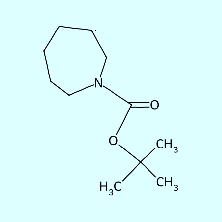 CC(C)(C)OC(=O)N1C[CH]CCCC1